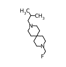 CC(C)CN1CCC2(CCN(CF)CC2)CC1